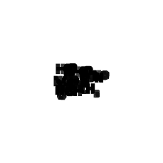 Cc1cc(N=Nc2c(C)c(C#N)c3nc4ccccc4n3c2O)c(OCCCS(=O)(=O)O)cc1N=Nc1ccc(N=Nc2ccccc2)cc1S(=O)(=O)O